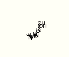 CCN(C)c1cc(-c2nc(-c3cc(C)c(OC[C@@H](O)CO)c(C)c3)no2)cc(C)n1